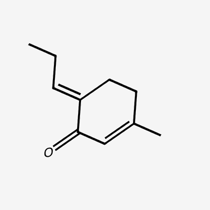 CCC=C1CCC(C)=CC1=O